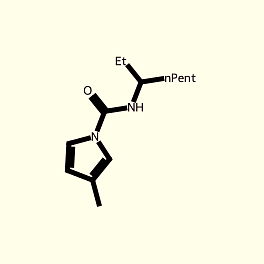 CCCCCC(CC)NC(=O)n1ccc(C)c1